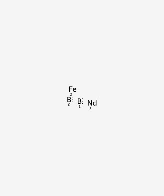 [B].[B].[Fe].[Nd]